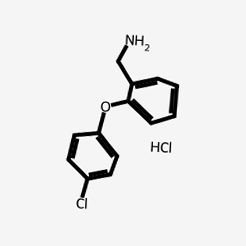 Cl.NCc1ccccc1Oc1ccc(Cl)cc1